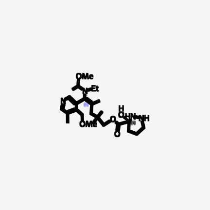 CCN(/C(=C(\C)CC(C)(C)COC(=O)[C@@]1(O)CCCNN1)c1cncc(C)c1COC)C(C)OC